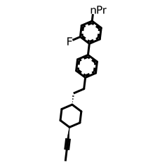 CC#C[C@H]1CC[C@H](CCc2ccc(-c3ccc(CCC)cc3F)cc2)CC1